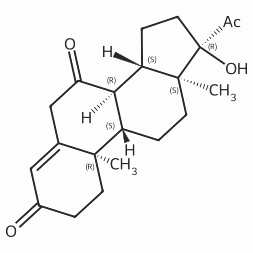 CC(=O)[C@@]1(O)CC[C@H]2[C@@H]3C(=O)CC4=CC(=O)CC[C@]4(C)[C@H]3CC[C@@]21C